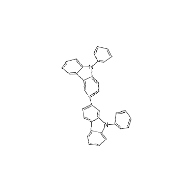 c1ccc(-n2c3ccccc3c3cc(-c4ccc5c6ccccc6n(-c6ccccc6)c5c4)ccc32)cc1